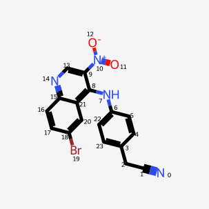 N#CCc1ccc(Nc2c([N+](=O)[O-])cnc3ccc(Br)cc23)cc1